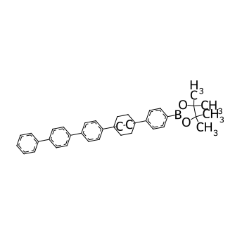 CC1(C)OB(c2ccc(C34CCC(c5ccc(-c6ccc(-c7ccccc7)cc6)cc5)(CC3)CC4)cc2)OC1(C)C